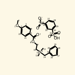 COc1ccc(C(=O)OCC[N+](C)(C)Cc2ccccc2)cc1.O=[N+]([O-])c1cccc(S(=O)(=O)O)c1